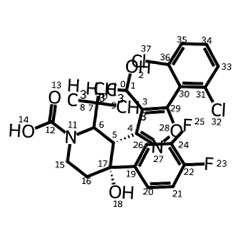 CC(O)c1c([C@H]2C(C(C)(C)C)N(C(=O)O)CC[C@]2(O)c2ccc(F)c(F)c2)noc1-c1c(Cl)cccc1Cl